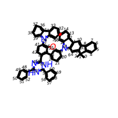 CC1(C)c2ccccc2-c2cc3c4ccccc4n(-c4cccc5c4oc4c(-n6c7ccccc7c7ccccc76)ccc(C6=NC(c7ccccc7)NC(c7ccccc7)N6)c45)c3cc21